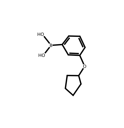 OB(O)c1cccc(OC2CCCC2)c1